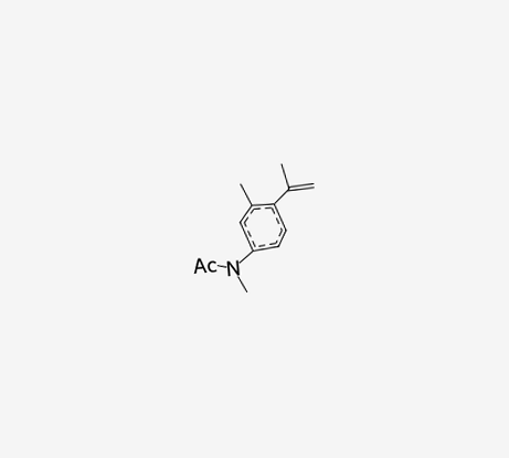 C=C(C)c1ccc(N(C)C(C)=O)cc1C